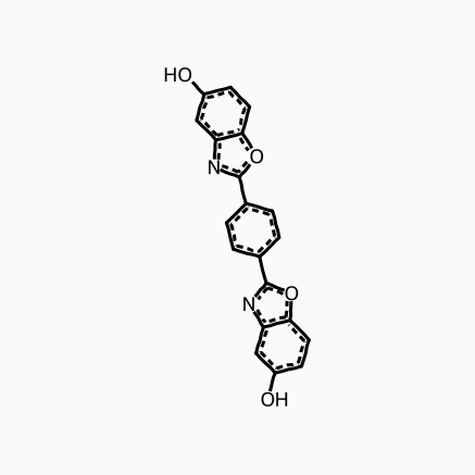 Oc1ccc2oc(-c3ccc(-c4nc5cc(O)ccc5o4)cc3)nc2c1